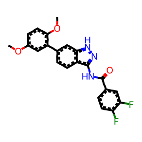 COc1ccc(OC)c(-c2ccc3c(NC(=O)c4ccc(F)c(F)c4)n[nH]c3c2)c1